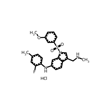 CNCc1cn(S(=O)(=O)c2cccc(OC)c2)c2cc(Nc3ccc(C)cc3F)ccc12.Cl